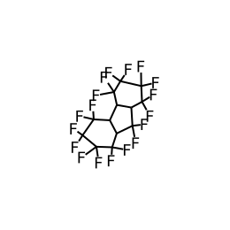 FC1(F)C2C(C3C1C(F)(F)C(F)(F)C(F)(F)C3(F)F)C(F)(F)C(F)(F)C(F)(F)C2(F)F